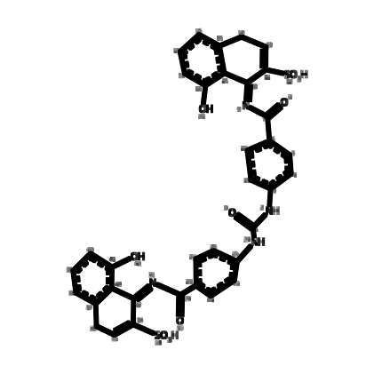 O=C(Nc1ccc(C(=O)N=C2C(S(=O)(=O)O)=CCc3cccc(O)c32)cc1)Nc1ccc(C(=O)N=C2C(S(=O)(=O)O)=CCc3cccc(O)c32)cc1